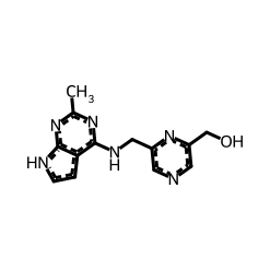 Cc1nc(NCc2cncc(CO)n2)c2cc[nH]c2n1